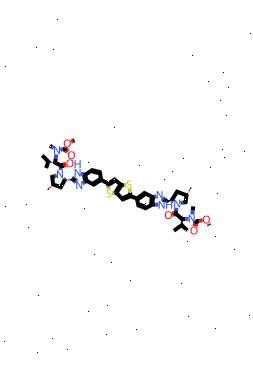 COC(=O)N(C)[C@H](C(=O)N1C[C@@H](C)C[C@H]1c1nc2cc(-c3cc4sc(-c5ccc6[nH]c([C@@H]7C[C@H](C)CN7C(=O)[C@H](C(C)C)N(C)C(=O)OC)nc6c5)cc4s3)ccc2[nH]1)C(C)C